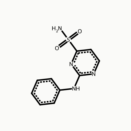 NS(=O)(=O)c1ccnc(Nc2ccccc2)n1